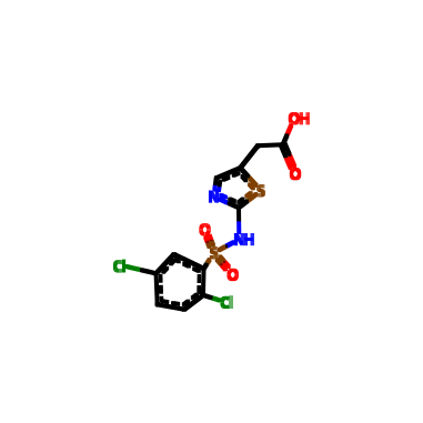 O=C(O)Cc1cnc(NS(=O)(=O)c2cc(Cl)ccc2Cl)s1